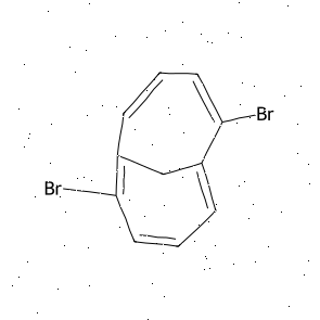 BrC1=CC=CC2=C(Br)C=CC=C1C2